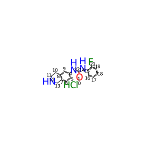 Cl.O=C(Nc1ccc2c(c1)CCNC2)Nc1ccccc1F